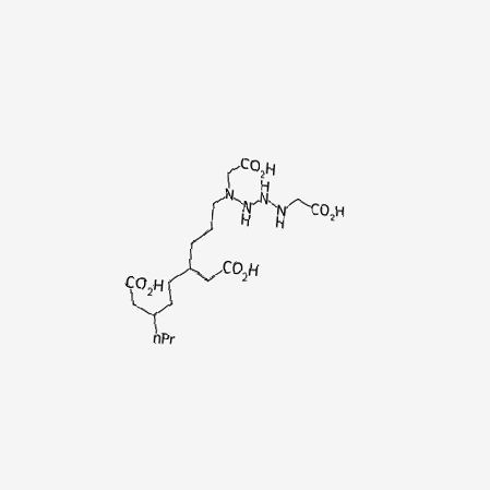 CCCC(CCC(CCCN(CC(=O)O)NNNCC(=O)O)CC(=O)O)CC(=O)O